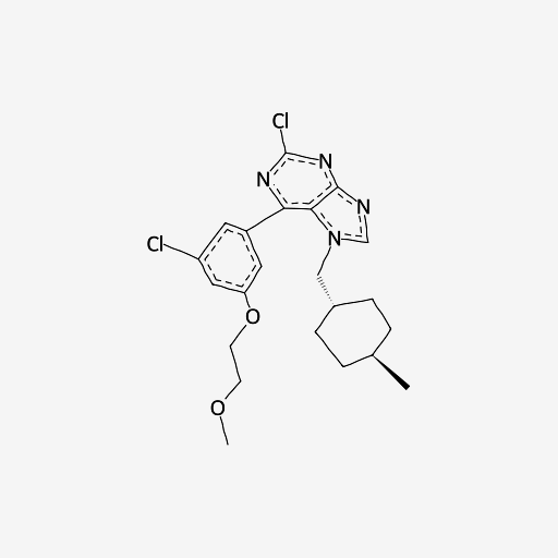 COCCOc1cc(Cl)cc(-c2nc(Cl)nc3ncn(C[C@H]4CC[C@H](C)CC4)c23)c1